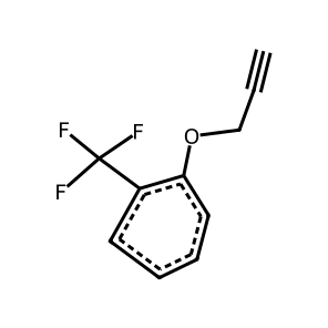 C#CCOc1ccccc1C(F)(F)F